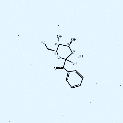 O=C(c1ccccc1)C1(S)O[C@@H](CO)[C@H](O)[C@@H](O)[C@@H]1O